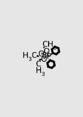 CCO[Si](OCC)(OCC)P(c1ccccc1)c1ccccc1